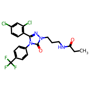 CCC(=O)NCCCn1nc(-c2ccc(Cl)cc2Cl)n(-c2ccc(C(F)(F)F)cc2)c1=O